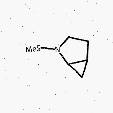 CSN1CCC2CC21